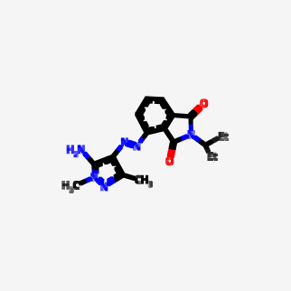 CCC(CC)N1C(=O)c2cccc(N=Nc3c(C)nn(C)c3N)c2C1=O